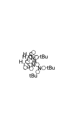 CC1CC2=C3B(C4C=C(C(C)(C)C)C=C5C4N(C3C1)C(C)(C)C51CCCCC1)C1CCC(N(C3CCC(C(C)(C)C)CC3)C3CCC(C(C)(C)C)CC3)CC1N2C1CCCc2c1sc1c2C=CCC1